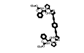 CC(C)(C)OC(=O)N[C@@H](C(=O)N1CCC[C@H]1c1ncc(C#Cc2ccc(C#Cc3cnc([C@@H]4CCCN4C(=O)[C@H](NC(=O)OC(C)(C)C)c4ccccc4)[nH]3)cc2)[nH]1)c1ccccc1